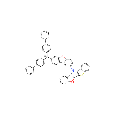 C1=CCC(c2ccc([C@H](c3ccc(-c4ccccc4)cc3)c3ccc4c(c3)oc3ccc(-n5c6c7ccccc7oc6c6sc7ccccc7c65)cc34)cc2)C=C1